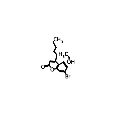 CCCCCc1cc(=O)oc2cc(Br)ccc12.CCO